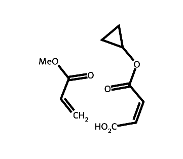 C=CC(=O)OC.O=C(O)/C=C\C(=O)OC1CC1